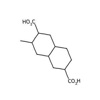 CC1CC2CC(C(=O)O)CCC2CC1C(=O)O